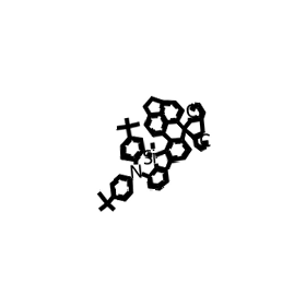 CC(C)(C)c1ccc(N(c2ccc(C(C)(C)C)cc2)c2cccc3c2[Si](C)(C)c2c-3ccc3c2-c2ccc4c5c(ccc(c25)C32c3ccccc3-c3ccccc32)CC4)cc1